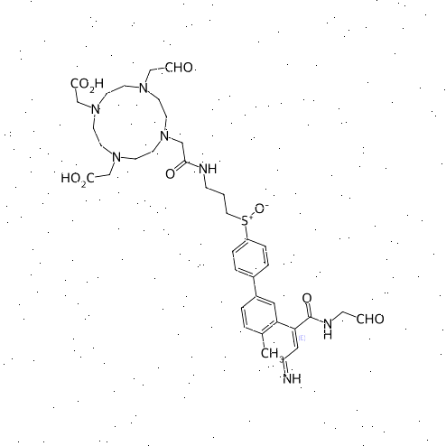 Cc1ccc(-c2ccc([S+]([O-])CCCNC(=O)CN3CCN(CC=O)CCN(CC(=O)O)CCN(CC(=O)O)CC3)cc2)cc1/C(=C\C=N)C(=O)NCC=O